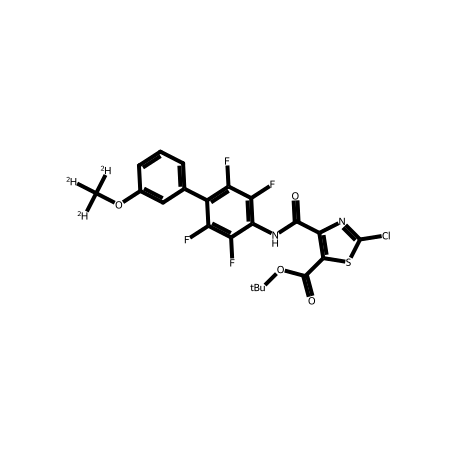 [2H]C([2H])([2H])Oc1cccc(-c2c(F)c(F)c(NC(=O)c3nc(Cl)sc3C(=O)OC(C)(C)C)c(F)c2F)c1